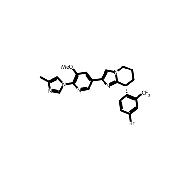 COc1cc(-c2cn3c(n2)[C@@H](c2ccc(Br)cc2C(F)(F)F)CCC3)cnc1-n1cnc(C)c1